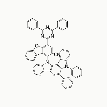 N#Cc1cc(-c2nc(-c3ccccc3)nc(-c3ccccc3)n2)c2oc3ccccc3c2c1-n1c2ccccc2c2cc(-c3ccccc3)c3c(c4ccccc4n3-c3ccccc3)c21